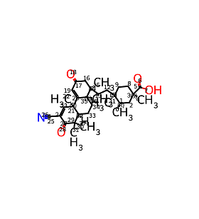 C[C@@H]1C[C@@](C)(C(=O)O)CC[C@]1(C)CC[C@]1(C)CC(=O)C=C2[C@@]3(C)C=C(C#N)C(=O)C(C)(C)[C@@H]3CC[C@]21C